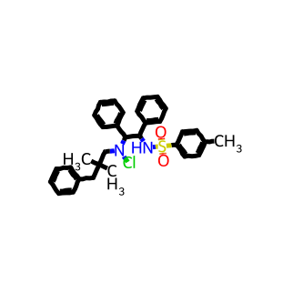 Cc1ccc(S(=O)(=O)NC(c2ccccc2)C(c2ccccc2)N(Cl)CC(C)(C)Cc2ccccc2)cc1